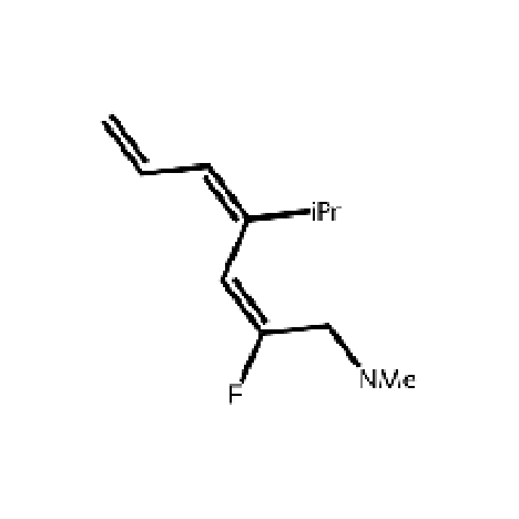 C=C/C=C(\C=C(\F)CNC)C(C)C